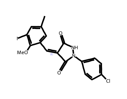 COc1c(I)cc(C)cc1/C=C1\C(=O)NN(c2ccc(Cl)cc2)C1=O